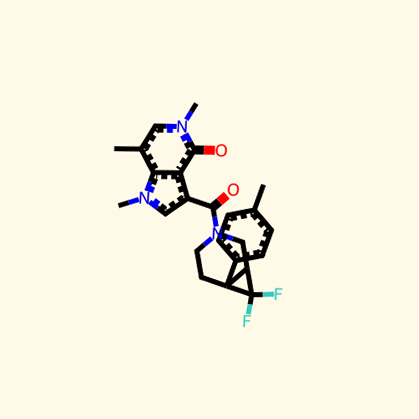 Cc1ccc(C23CCN(C(=O)c4cn(C)c5c(C)cn(C)c(=O)c45)CC2C3(F)F)cc1